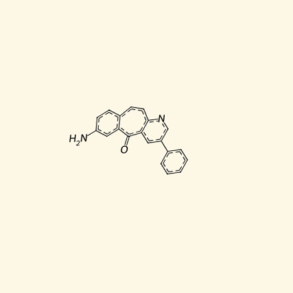 Nc1ccc2ccc3ncc(-c4ccccc4)cc3c(=O)c2c1